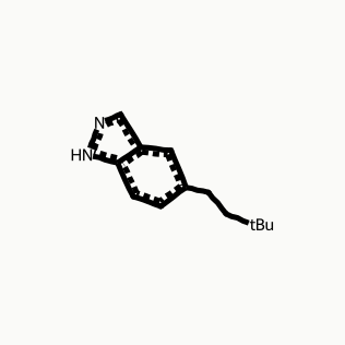 CC(C)(C)CCc1ccc2[nH]ncc2c1